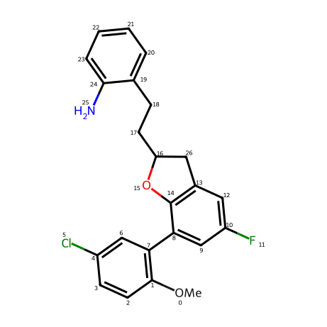 COc1ccc(Cl)cc1-c1cc(F)cc2c1OC(CCc1ccccc1N)C2